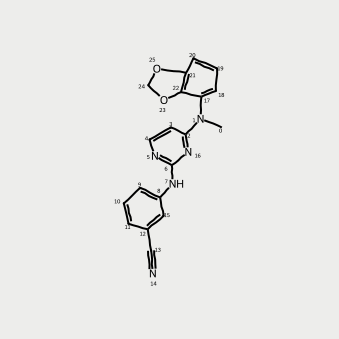 CN(c1ccnc(Nc2cccc(C#N)c2)n1)c1cccc2c1OCO2